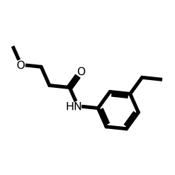 CCc1cccc(NC(=O)CCOC)c1